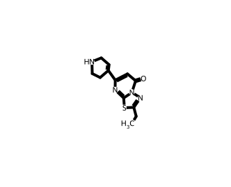 CCc1nn2c(=O)cc(C3=CCNCC3)nc2s1